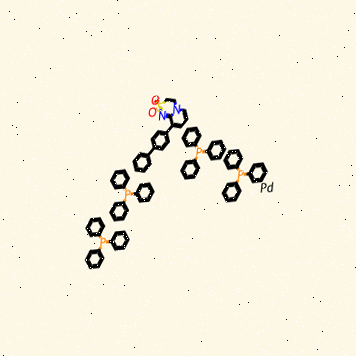 O=S1(=O)CCN2C=CC=C(c3ccc(-c4ccccc4)cc3)C2=N1.[Pd].c1ccc(P(c2ccccc2)c2ccccc2)cc1.c1ccc(P(c2ccccc2)c2ccccc2)cc1.c1ccc(P(c2ccccc2)c2ccccc2)cc1.c1ccc(P(c2ccccc2)c2ccccc2)cc1